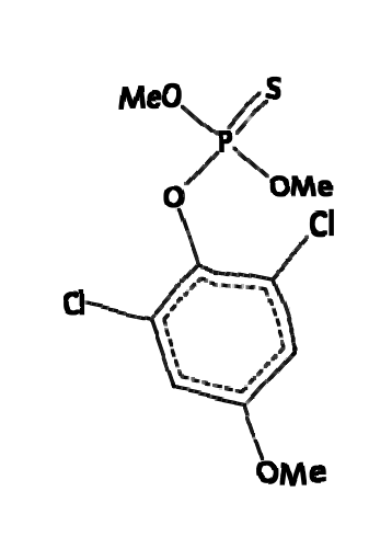 COc1cc(Cl)c(OP(=S)(OC)OC)c(Cl)c1